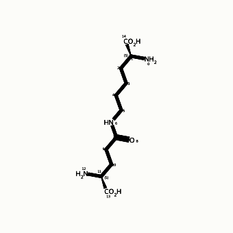 N[C@@H](CCCCNC(=O)CC[C@H](N)C(=O)O)C(=O)O